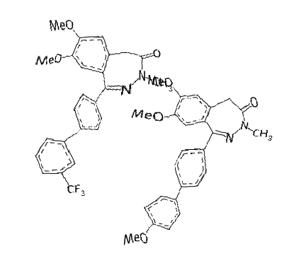 COc1cc2c(cc1OC)C(c1ccc(-c3cccc(C(F)(F)F)c3)cc1)=NN(C)C(=O)C2.COc1ccc(-c2ccc(C3=NN(C)C(=O)Cc4cc(OC)c(OC)cc43)cc2)cc1